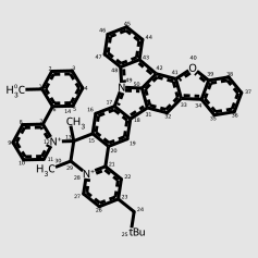 Cc1ccccc1-c1cccc[n+]1C1(C)c2cc3c(cc2-c2cc(CC(C)(C)C)cc[n+]2C1C)c1cc2c4ccccc4oc2c2c4ccccc4n3c12